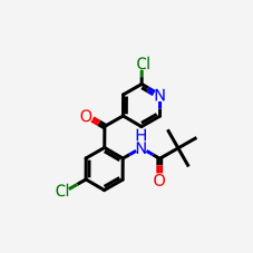 CC(C)(C)C(=O)Nc1ccc(Cl)cc1C(=O)c1ccnc(Cl)c1